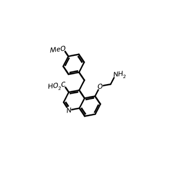 COc1ccc(Cc2c(C(=O)O)cnc3cccc(OCN)c23)cc1